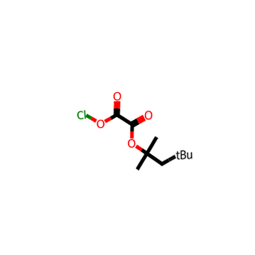 CC(C)(C)CC(C)(C)OC(=O)C(=O)OCl